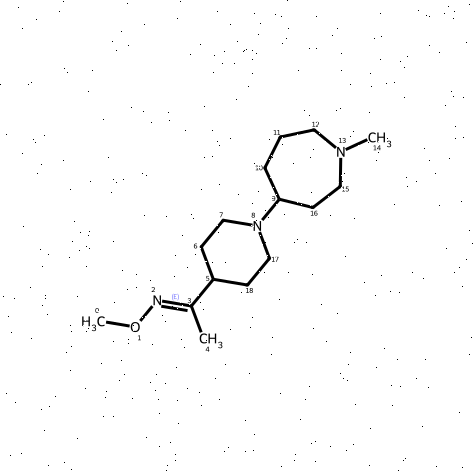 CO/N=C(\C)C1CCN(C2CCCN(C)CC2)CC1